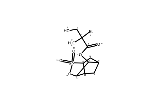 CCC(C)(CO)C(=O)OC1C2CC3C1OS(=O)(=O)C3C2